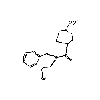 O=C(O)N1CCC(C(=O)N(CCO)Cc2ccccc2)CC1